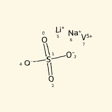 O=S(=O)([O-])[O-].[Li+].[Na+].[V+5]